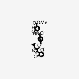 COC(=O)c1ccc(NC(=O)C23CCC(COCc4c(-c5c(Cl)cccc5Cl)noc4C4CC4)(CC2)CC3)c(O)c1